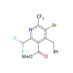 COC(=O)c1c(C(F)F)nc(C(F)(F)F)c(Br)c1CC(C)C